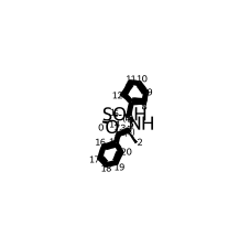 CS(=O)(=O)O.C[C@H](N[C@H](C)c1ccccc1)C(=O)c1ccccc1